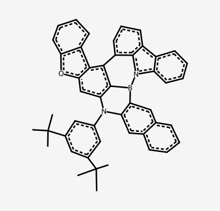 CC(C)(C)c1cc(N2c3cc4ccccc4cc3B3c4c2cc2oc5ccccc5c2c4-c2cccc4c5ccccc5n3c24)cc(C(C)(C)C)c1